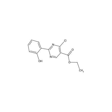 CCOC(=O)c1cnc(-c2ccccc2O)nc1Cl